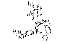 N=C(N)c1ccc(C(=O)NCc2ccccc2-c2cccc(C(=N)N)c2)cc1.O=C(O)C(F)(F)F.O=C(O)C(F)(F)F